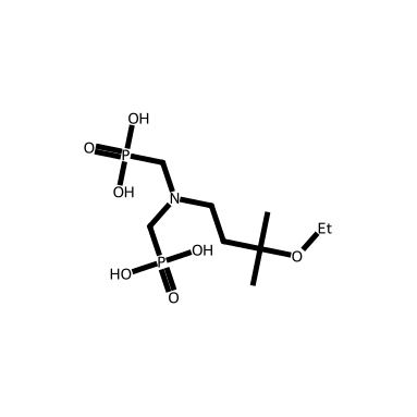 CCOC(C)(C)CCN(CP(=O)(O)O)CP(=O)(O)O